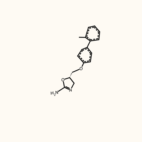 Cc1ccccc1-c1ccc(OC[C@@H]2CN=C(N)O2)cc1